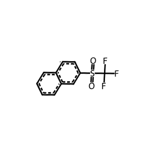 O=S(=O)(c1c[c]c2ccccc2c1)C(F)(F)F